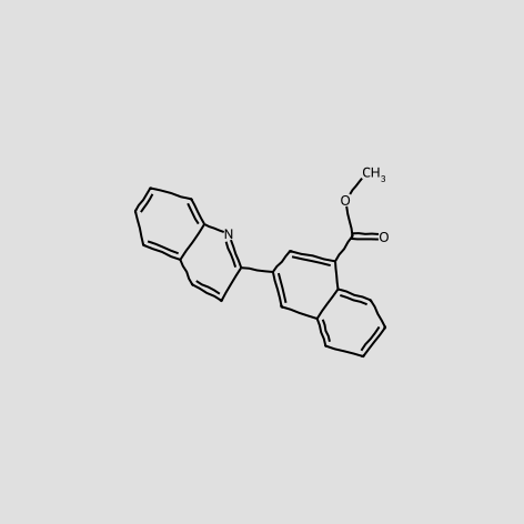 COC(=O)c1cc(-c2ccc3ccccc3n2)cc2ccccc12